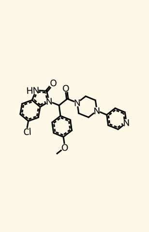 COc1ccc(C(C(=O)N2CCN(c3ccncc3)CC2)n2c(=O)[nH]c3ccc(Cl)cc32)cc1